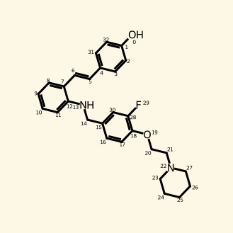 Oc1ccc(C=Cc2ccccc2NCc2ccc(OCCN3CCCCC3)c(F)c2)cc1